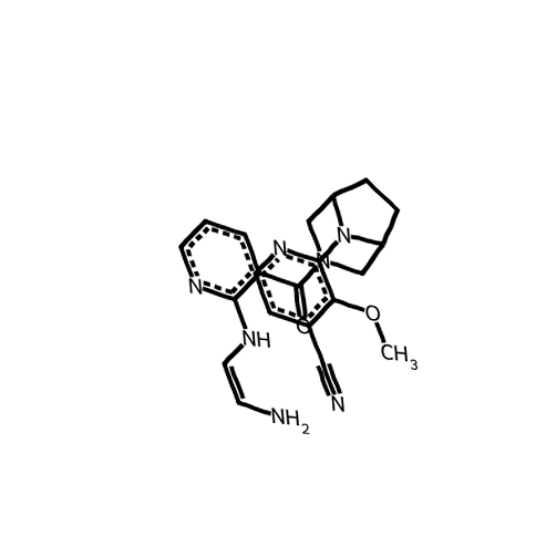 COc1c(C#N)ccnc1N1C2CCC1CN(C(=O)c1cccnc1N/C=C\N)C2